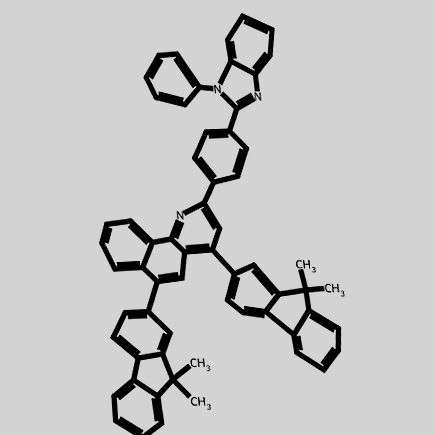 CC1(C)c2ccccc2-c2ccc(-c3cc4c(-c5ccc6c(c5)C(C)(C)c5ccccc5-6)cc(-c5ccc(-c6nc7ccccc7n6-c6ccccc6)cc5)nc4c4ccccc34)cc21